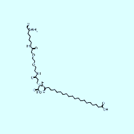 N[C@H]([C]=O)CCCCNC(=O)COCCOCCNC(=O)CC[C@H](NC(=O)CCCCCCCCCCCCCCCCCCC(=O)O)C(=O)O